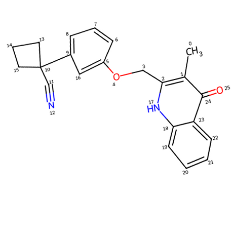 Cc1c(COc2cccc(C3(C#N)CCC3)c2)[nH]c2ccccc2c1=O